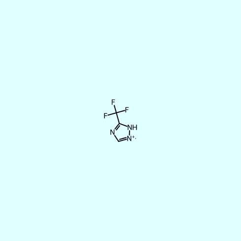 FC(F)(F)C1=NC=[N+]N1